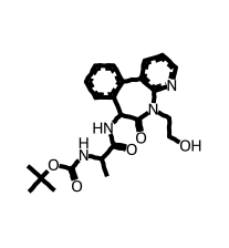 CC(NC(=O)OC(C)(C)C)C(=O)NC1C(=O)N(CCO)c2ncccc2-c2ccccc21